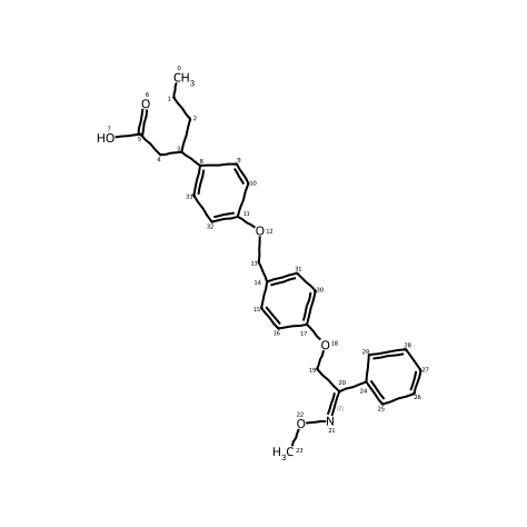 CCCC(CC(=O)O)c1ccc(OCc2ccc(OC/C(=N\OC)c3ccccc3)cc2)cc1